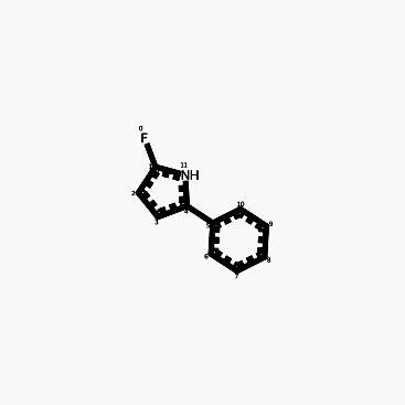 Fc1ccc(-c2ccccc2)[nH]1